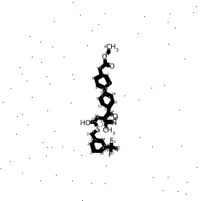 CCOC(=O)Cc1ccc(-c2ccc(-c3onc(C)c3CC(O)SCc3cccc(C(F)(F)F)c3)cc2)cc1